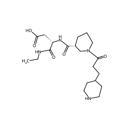 CCNC(=O)[C@H](CC(=O)O)NC(=O)[C@@H]1CCCN(C(=O)CCC2CCNCC2)C1